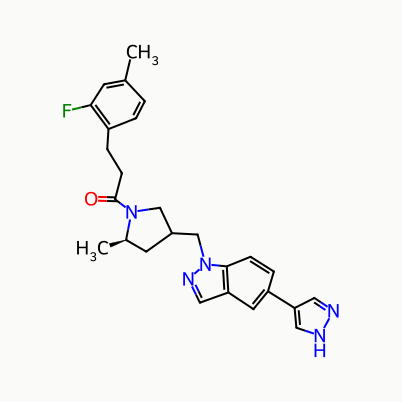 Cc1ccc(CCC(=O)N2CC(Cn3ncc4cc(-c5cn[nH]c5)ccc43)C[C@H]2C)c(F)c1